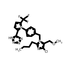 CCCCc1nc(Cl)c(COC)n1Cc1ccc(-n2c(-c3nnn[nH]3)ccc2C(F)(F)F)cc1